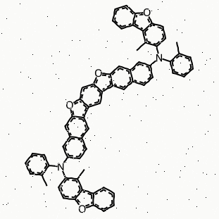 Cc1ccccc1N(c1ccc2cc3c(cc2c1)oc1cc2oc4cc5cc(N(c6ccccc6C)c6ccc7oc8ccccc8c7c6C)ccc5cc4c2cc13)c1ccc2oc3ccccc3c2c1C